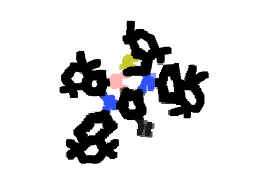 CCc1cc2c3c(c1)N(c1ccc4c(c1)C(C)(C)CCC4(C)C)c1c(sc4c1C(C)(C)CCC4(C)C)B3c1cc3c(cc1N2c1ccc2c(c1)C(C)(C)CCC2(C)C)C(C)(C)CCC3(C)C